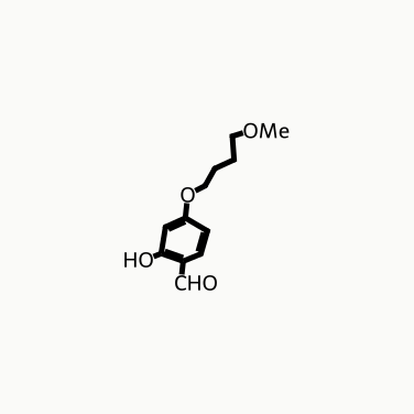 COCCCCOc1ccc(C=O)c(O)c1